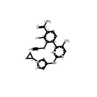 Cc1cnc(Nc2cnn(C3CC3)c2)nc1-c1ccc(C(N)=O)c(F)c1CC#N